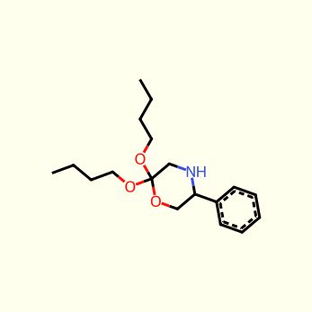 CCCCOC1(OCCCC)CNC(c2ccccc2)CO1